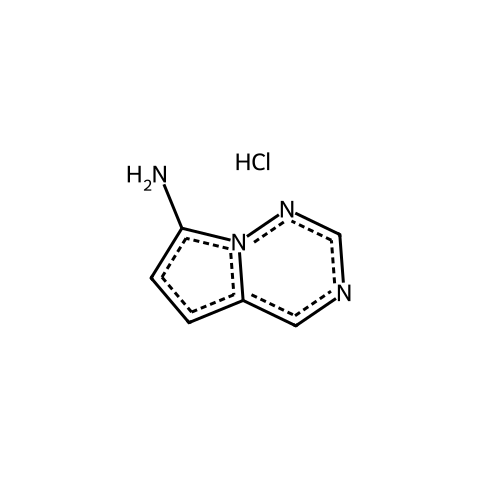 Cl.Nc1ccc2cncnn12